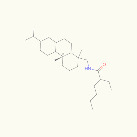 CCCCC(CC)C(=O)NCC1(C)CCC[C@]2(C)C3CCC(C(C)C)CC3CCC12